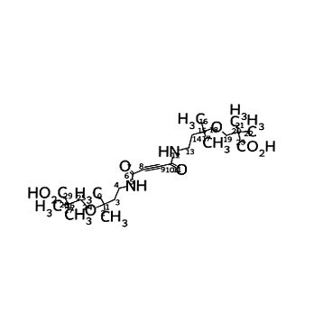 CC(C)(CCNC(=O)C#CC(=O)NCCC(C)(C)OCC(C)(C)C(=O)O)OCC(C)(C)C(=O)O